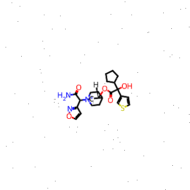 NC(=O)C(c1ccon1)[N+]12CCC(CC1)[C@@H](OC(=O)C(O)(c1ccsc1)C1CCCC1)C2